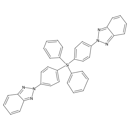 c1ccc([Si](c2ccccc2)(c2ccc(-n3nc4ccccc4n3)cc2)c2ccc(-n3nc4ccccc4n3)cc2)cc1